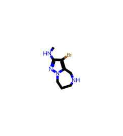 CNc1nn2c(c1Br)CNCCC2